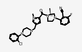 C[C@H]1CN(c2cccc(F)c2C#N)CCN1C(=O)c1cc(CN2CCN(c3ccccc3Cl)CC2)cn1C